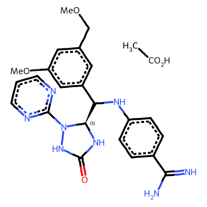 CC(=O)O.COCc1cc(OC)cc(C(Nc2ccc(C(=N)N)cc2)[C@H]2NC(=O)NN2c2ncccn2)c1